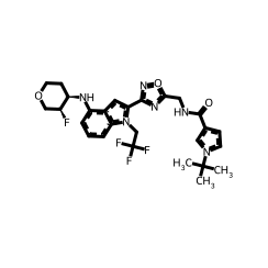 CC(C)(C)n1ccc(C(=O)NCc2nc(-c3cc4c(N[C@@H]5CCOC[C@@H]5F)cccc4n3CC(F)(F)F)no2)c1